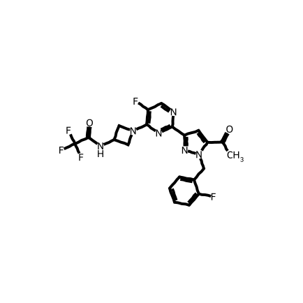 CC(=O)c1cc(-c2ncc(F)c(N3CC(NC(=O)C(F)(F)F)C3)n2)nn1Cc1ccccc1F